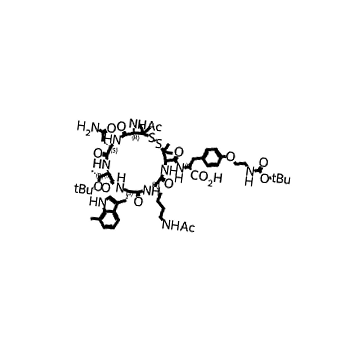 CC(=O)NCCCC[C@@H]1NC(=O)[C@H](Cc2c[nH]c3c(C)cccc23)NC(=O)[C@H]([C@@H](C)OC(C)(C)C)NC(=O)[C@H](CC(N)=O)NC(=O)[C@@H](NC(C)=O)C(C)(C)SSC(C)(C)C(C(=O)N[C@@H](Cc2ccc(OCCNC(=O)OC(C)(C)C)cc2)C(=O)O)NC1=O